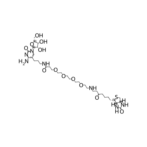 Nc1nc(=O)n([C@@H]2O[C@H](CO)C(O)C2O)cc1CCCNC(=O)CCOCCOCCOCCOCCNCCC(=O)CCCC[C@@H]1SC[C@@H]2NC(=O)N[C@@H]21